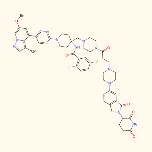 CCOc1cc(-c2ccc(N3CCC(CN4CCN(C(=O)CCN5CCN(c6ccc7c(c6)C(=O)N(C6CCC(=O)NC6=O)C7)CC5)CC4)(NC(=O)c4cc(F)ccc4F)CC3)nc2)c2c(C#N)cnn2c1